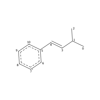 CC(C)C=Cc1c[c]ccc1